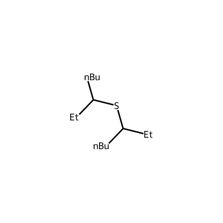 CCCCC(CC)SC(CC)CCCC